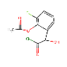 CC(=O)Oc1c(F)cccc1C(O)C(=O)Cl